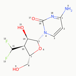 Nc1ccn([C@@H]2O[C@H](CO)[C@@H](C(F)F)[C@H]2O)c(=O)n1